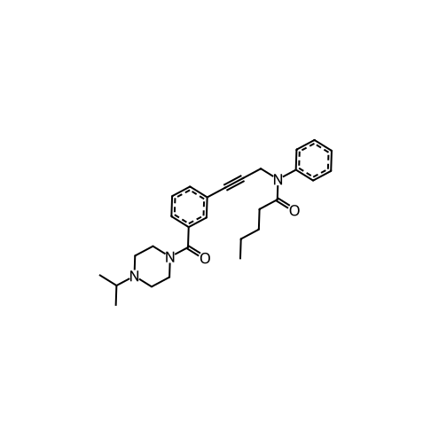 CCCCC(=O)N(CC#Cc1cccc(C(=O)N2CCN(C(C)C)CC2)c1)c1ccccc1